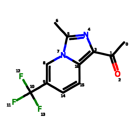 CC(=O)c1nc(C)n2cc(C(F)(F)F)ccc12